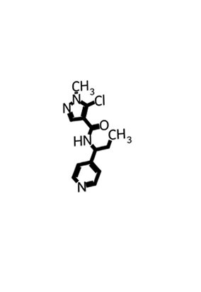 CCC(NC(=O)c1cnn(C)c1Cl)c1ccncc1